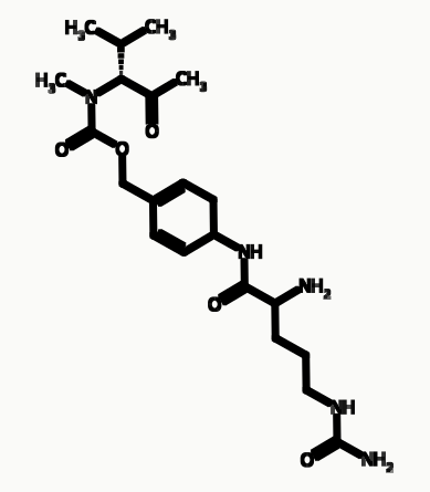 CC(=O)[C@@H](C(C)C)N(C)C(=O)OCC1=CCC(NC(=O)C(N)CCCNC(N)=O)C=C1